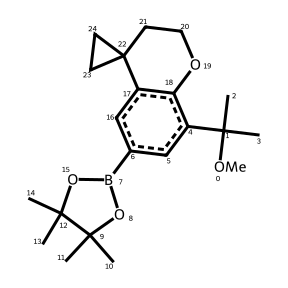 COC(C)(C)c1cc(B2OC(C)(C)C(C)(C)O2)cc2c1OCCC21CC1